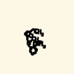 CCc1ccc(CN(CC)Cc2ccccc2OC)o1